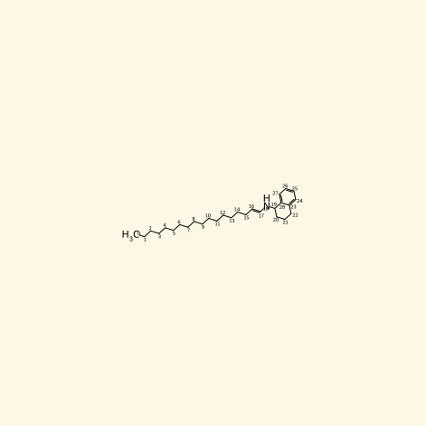 CCCCCCCCCCCCCCCCC=CNC1CCCc2ccccc21